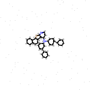 c1ccc(-c2ccc(N(c3cccc(-c4ccccc4)c3)c3ccnc4sc5c6ccccc6ccc5c34)cc2)cc1